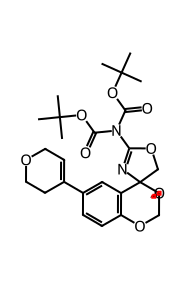 CC(C)(C)OC(=O)N(C(=O)OC(C)(C)C)C1=NC2(CO1)c1cc(C3=CCOCC3)ccc1OCC21COC1